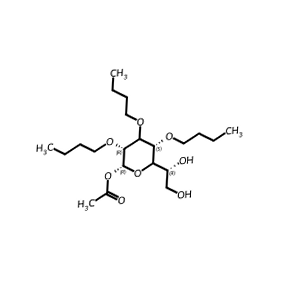 CCCCOC1[C@H](OCCCC)C([C@H](O)CO)O[C@H](OC(C)=O)[C@@H]1OCCCC